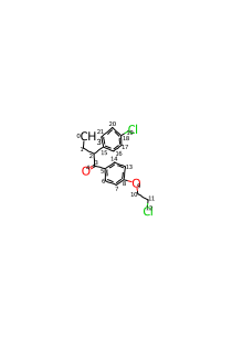 CCC(C(=O)c1ccc(OCCCl)cc1)c1ccc(Cl)cc1